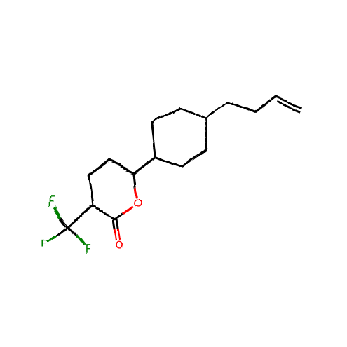 C=CCCC1CCC(C2CCC(C(F)(F)F)C(=O)O2)CC1